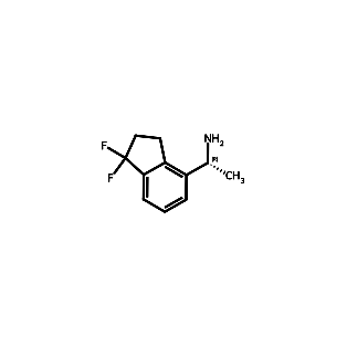 C[C@@H](N)c1cccc2c1CCC2(F)F